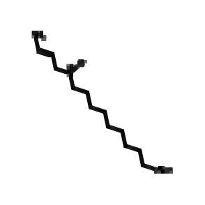 CCCCCCCCCCCCCCCCCC[NH+]([O-])CC=CN